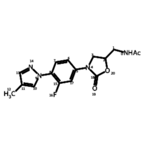 CC(=O)NCC1CN(c2ccc(-n3cc(C)cn3)c(F)c2)C(=O)O1